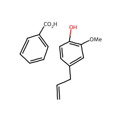 C=CCc1ccc(O)c(OC)c1.O=C(O)c1ccccc1